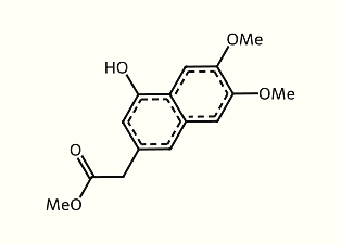 COC(=O)Cc1cc(O)c2cc(OC)c(OC)cc2c1